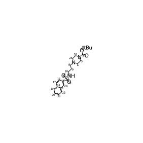 CC(C)(C)OC(=O)N1CCN(CCCNS(=O)(=O)c2ccc3ccccc3c2)CC1